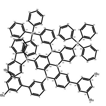 CC(C)(C)c1cc(-c2cccc(N3c4ccc(-c5cc(C(C)(C)C)cc(C(C)(C)C)c5)cc4B4c5ccc([Si](c6ccccc6)(c6ccccc6)c6ccccc6)cc5N(c5cccc([Si](c6ccccc6)(c6ccccc6)c6ccccc6)c5)c5cc(-n6c7ccccc7c7ccccc76)cc3c54)c2)cc(C(C)(C)C)c1